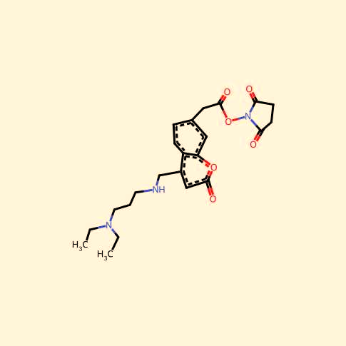 CCN(CC)CCCNCc1cc(=O)oc2cc(CC(=O)ON3C(=O)CCC3=O)ccc12